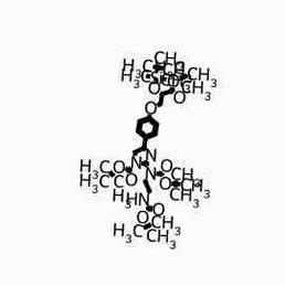 CC(C)(C)OC(=O)NCCN(C(=O)OC(C)(C)C)C1=NC(c2ccc(OCC(O[Si](C)(C)C(C)(C)C)C(=O)OC(C)(C)C)cc2)CN1C(=O)OC(C)(C)C